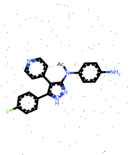 CC(=O)N(c1ccc(N)cc1)c1n[nH]c(-c2ccc(F)cc2)c1-c1ccncc1